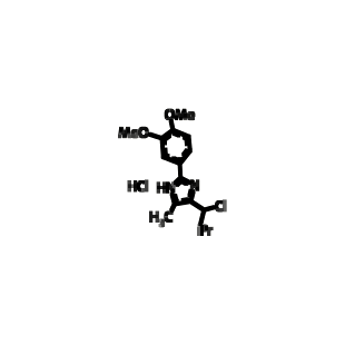 COc1ccc(-c2nc(C(Cl)C(C)C)c(C)[nH]2)cc1OC.Cl